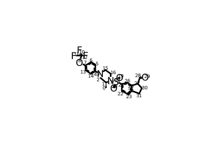 C[C@H]1CN(c2ccc(OC(F)(F)F)cc2)CCN1S(=O)(=O)c1ccc2c(c1)C(C=O)CC2